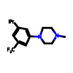 CC(C)c1cc(N2CCN(C)CC2)cc(C(F)(F)F)c1